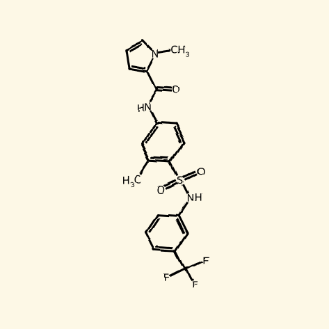 Cc1cc(NC(=O)c2cccn2C)ccc1S(=O)(=O)Nc1cccc(C(F)(F)F)c1